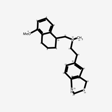 COc1cccc2c1CCCC2CN(C)CCc1ccc2c(c1)CSCN2